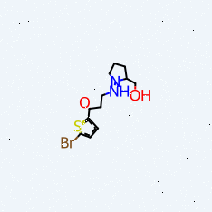 O=C(CCNN1CCCC1CO)c1ccc(Br)s1